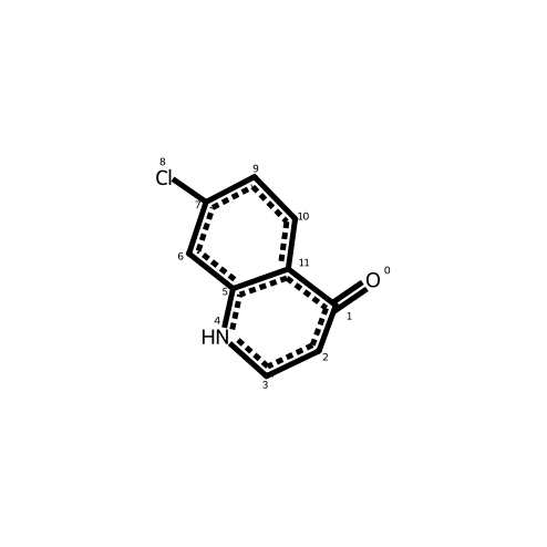 O=c1c[c][nH]c2cc(Cl)ccc12